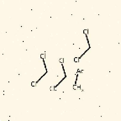 CC(C)=O.ClCCl.ClCCl.ClCCl